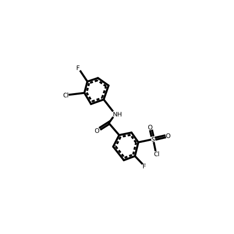 O=C(Nc1ccc(F)c(Cl)c1)c1ccc(F)c(S(=O)(=O)Cl)c1